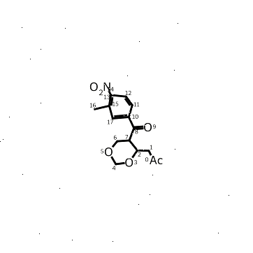 CC(=O)CC1OCOCC1C(=O)c1ccc([N+](=O)[O-])c(C)c1